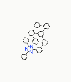 C1=CC(c2nc(-c3ccccc3)nc(-c3cccc(-c4cccc(-c5cc(-c6ccccc6-c6ccccc6)cc(-c6ccccc6-c6ccccc6)c5)c4)c3)n2)=CCC1